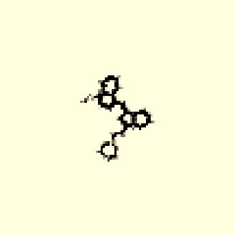 COc1ccc(C=C2C=C(CCN3CCOCC3)c3ccccc32)c2ccccc12